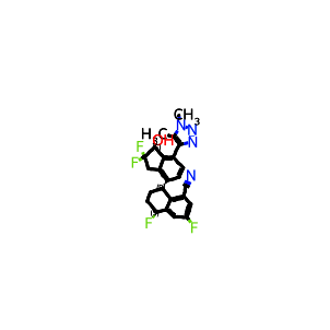 Cc1c(-c2ccc([C@H]3CC[C@H](F)c4cc(F)cc(C#N)c43)c3c2[C@H](O)C(F)(F)C3)nnn1C